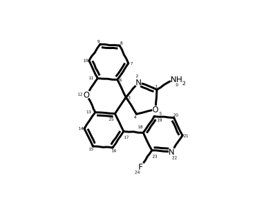 NC1=NC2(CO1)c1ccccc1Oc1cccc(-c3cccnc3F)c12